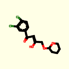 O=C(/C=C(\O)COC1CCCCO1)c1ccc(Cl)c(Cl)c1